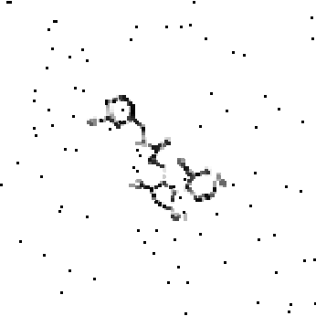 CCC/C=C\C(C(N)=O)[C@H]1[C@@H](COC(=S)NCc2cccc(Cl)c2)[C@H](O)C[C@@H]1O